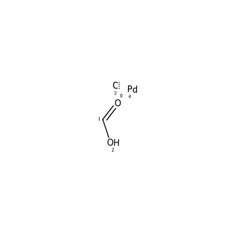 O=CO.[C].[Pd]